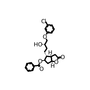 O=C1C[C@@H]2[C@@H](CC[C@H](O)COc3cccc(Cl)c3)[C@H](OC(=O)c3ccccc3)C[C@@H]2O1